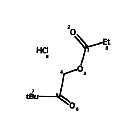 CCC(=O)OCC(=O)C(C)(C)C.Cl